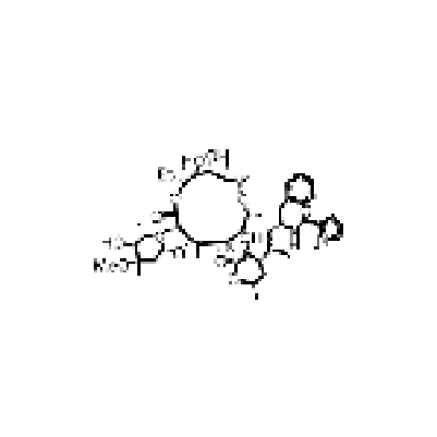 CC[C@H]1OC(=O)[C@H](C)[C@@H](O[C@H]2C[C@@](C)(OC)[C@@H](O)[C@H](C)O2)[C@H](C)[C@@H](O[C@@H]2O[C@H](C)C[C@H](N(C)C[C@@H](Cc3ccccc3)NC(=O)c3cccn3C)[C@H]2O)[C@](C)(O)C[C@@H](C)CN(C)[C@H](C)[C@@H](O)[C@]1(C)O